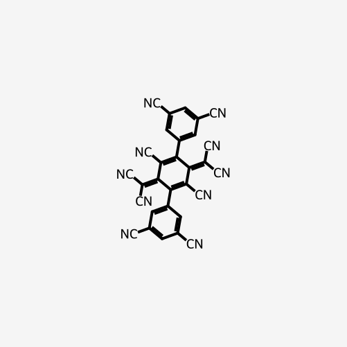 N#CC(C#N)=c1c(C#N)c(-c2cc(C#N)cc(C#N)c2)c(=C(C#N)C#N)c(C#N)c1-c1cc(C#N)cc(C#N)c1